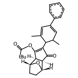 CC1=CC(c2ccccc2)=CC(C)C1C1=C(OC(=O)C(C)(C)C)[C@H]2[C@@H](C1=O)[C@@H]1CC[C@H]2O1